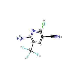 N#Cc1cc(C(F)(F)F)c(N)nc1Cl